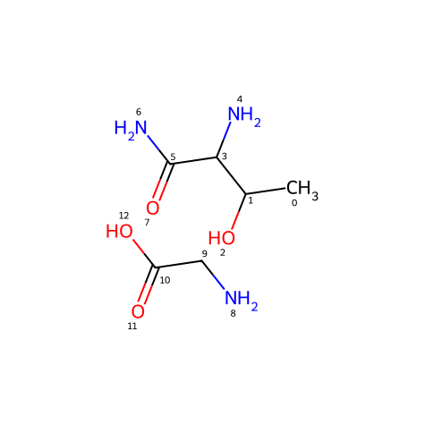 CC(O)C(N)C(N)=O.NCC(=O)O